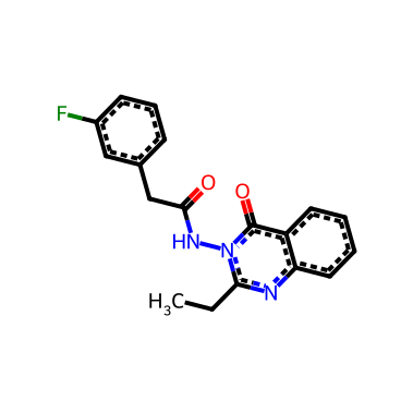 CCc1nc2ccccc2c(=O)n1NC(=O)Cc1cccc(F)c1